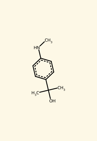 CNc1ccc(C(C)(C)O)cc1